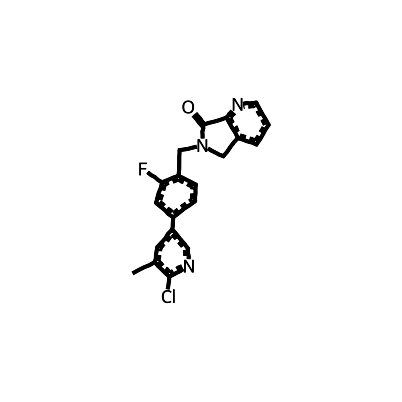 Cc1cc(-c2ccc(CN3Cc4cccnc4C3=O)c(F)c2)cnc1Cl